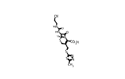 Cc1nnc(SCC2=C(C(=O)O)N3C(=O)C(NC(=O)NCCC#N)[C@H]3SC2)s1